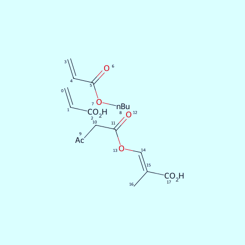 C=CC(=O)O.C=CC(=O)OCCCC.CC(=O)CC(=O)OC=C(C)C(=O)O